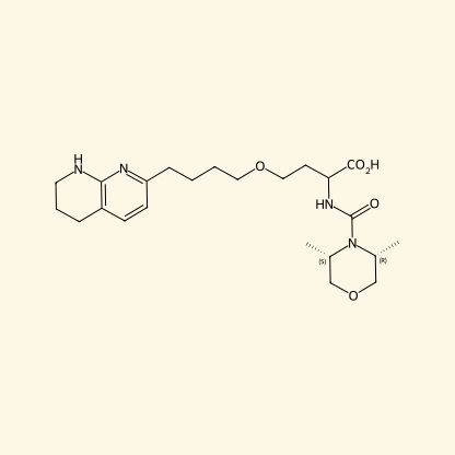 C[C@@H]1COC[C@H](C)N1C(=O)NC(CCOCCCCc1ccc2c(n1)NCCC2)C(=O)O